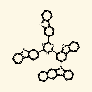 c1ccc2cc3c(cc2c1)c1ccccc1n3-c1cc(-c2nc(-c3ccc4c(c3)oc3ccccc34)nc(-c3ccc4c(c3)sc3ccccc34)n2)c2sc3ccccc3c2c1